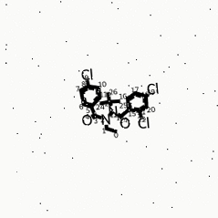 CCN(C(=O)c1ccc(Cl)cc1)N(C(=O)c1ccc(Cl)cc1Cl)C(C)(C)C